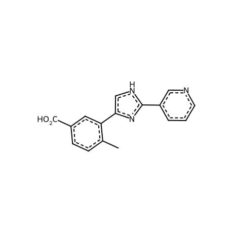 Cc1ccc(C(=O)O)cc1-c1c[nH]c(-c2cccnc2)n1